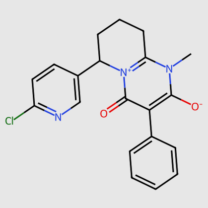 Cn1c([O-])c(-c2ccccc2)c(=O)[n+]2c1CCCC2c1ccc(Cl)nc1